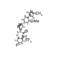 COc1cc(-c2cn([C@@H]3CCc4cc(F)ccc4N(CC(F)(F)F)C3=O)nn2)ccc1-n1cnc(C)c1